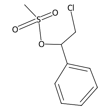 CS(=O)(=O)OC(CCl)c1ccccc1